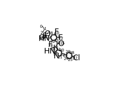 CCCS(=O)(=O)Nc1cc(F)c(F)c(C(=O)c2c[nH]c3ncc(-c4ccc(Cl)cc4)cc23)c1F